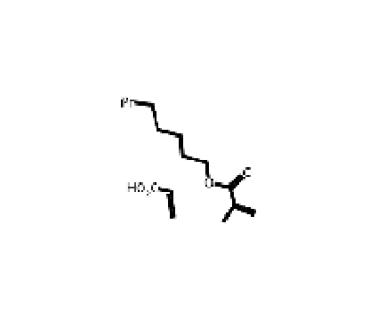 C=C(C)C(=O)OCCCCCC(C)C.C=CC(=O)O